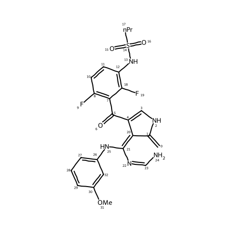 C=c1[nH]cc(C(=O)c2c(F)ccc(NS(=O)(=O)CCC)c2F)/c1=C(/N=C\N)Nc1cccc(OC)c1